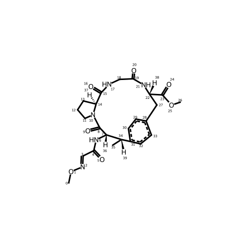 CO/N=C/C(=O)N[C@@H]1C(=O)N2CCC[C@H]2C(=O)NCC(=O)N[C@H](C(=O)OC)Cc2ccc(cc2)[C@@H]1C